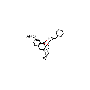 COc1ccc2c(c1)[C@]13CCN(CC4CC4)[C@H](C2)C12CCC(NCC1CCCCC1)(CO2)C3